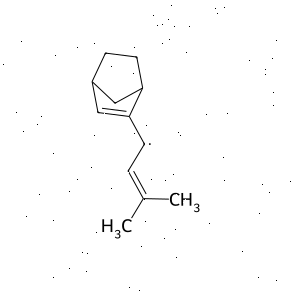 CC(C)=C[CH]C1=CC2CCC1C2